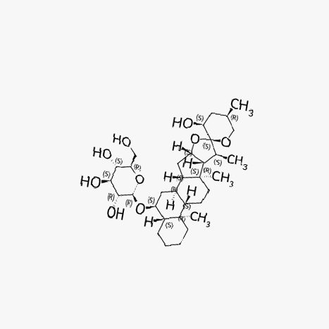 C[C@H]1CO[C@@]2(O[C@H]3C[C@H]4[C@@H]5C[C@H](O[C@@H]6O[C@H](CO)[C@@H](O)[C@H](O)[C@H]6O)[C@H]6CCCC[C@]6(C)[C@H]5CC[C@]4(C)[C@H]3[C@@H]2C)[C@@H](O)C1